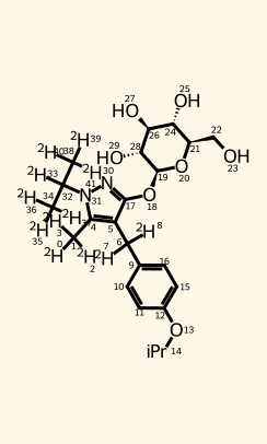 [2H]C([2H])([2H])c1c(C([2H])([2H])c2ccc(OC(C)C)cc2)c(O[C@@H]2O[C@H](CO)[C@@H](O)[C@H](O)[C@H]2O)nn1C([2H])(C([2H])([2H])[2H])C([2H])([2H])[2H]